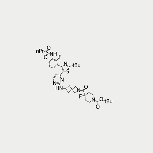 CCCS(=O)(=O)Nc1cccc(-c2nc(C(C)(C)C)sc2-c2ccnc(NC3CC4(C3)CN(C(=O)C3(F)CCN(C(=O)OC(C)(C)C)CC3)C4)n2)c1F